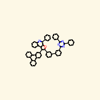 c1ccc(-c2nc(-c3ccccc3)nc(-c3cccc(-c4cccc(-c5oc6c(-c7ccccc7)nc7ccccc7c6c5-c5ccc6c7ccccc7c7ccccc7c6c5)c4)c3)n2)cc1